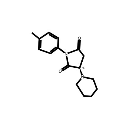 Cc1ccc(N2C(=O)C[C@@H](N3CCCCC3)C2=O)cc1